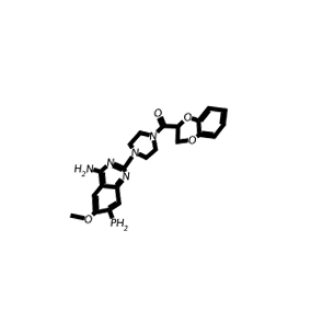 COc1cc2c(N)nc(N3CCN(C(=O)C4COc5ccccc5O4)CC3)nc2cc1P